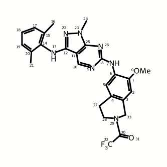 COc1cc2c(cc1Nc1ncc3c(Nc4c(C)cccc4C)nn(C)c3n1)CCN(C(=O)C(F)(F)F)C2